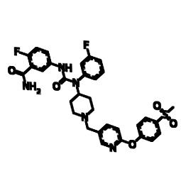 CS(=O)(=O)c1ccc(Oc2ccc(CN3CCC(N(C(=O)Nc4ccc(F)c(C(N)=O)c4)c4cccc(F)c4)CC3)cn2)cc1